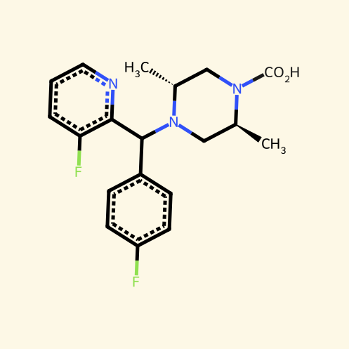 C[C@@H]1CN(C(=O)O)[C@@H](C)CN1C(c1ccc(F)cc1)c1ncccc1F